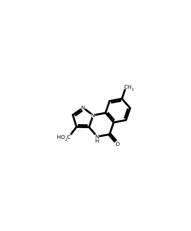 Cc1ccc2c(=O)[nH]c3c(C(=O)O)cnn3c2c1